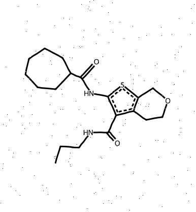 CCCNC(=O)c1c(NC(=O)C2CCCCCC2)sc2c1CCOC2